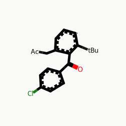 CC(=O)Cc1cc[c]c(C(C)(C)C)c1C(=O)c1ccc(Cl)cc1